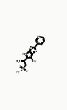 CC(CS(C)(=O)=O)c1[nH]c2sc(-c3cccnc3)nc2c1O